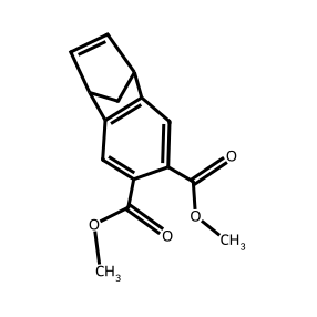 COC(=O)c1cc2c(cc1C(=O)OC)C1C=CC2C1